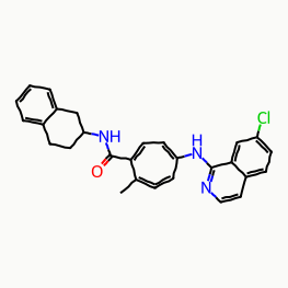 CC1=C=CC(Nc2nccc3ccc(Cl)cc23)=CC=C1C(=O)NC1CCc2ccccc2C1